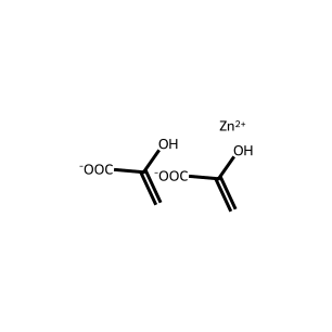 C=C(O)C(=O)[O-].C=C(O)C(=O)[O-].[Zn+2]